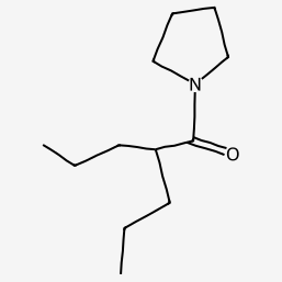 CCCC(CCC)C(=O)N1CCCC1